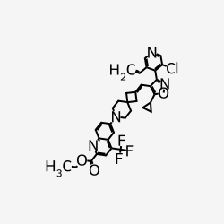 C=Cc1cncc(Cl)c1-c1noc(C2CC2)c1C=C1CC2(CCN(c3ccc4nc(C(=O)OCC)cc(C(F)(F)F)c4c3)CC2)C1